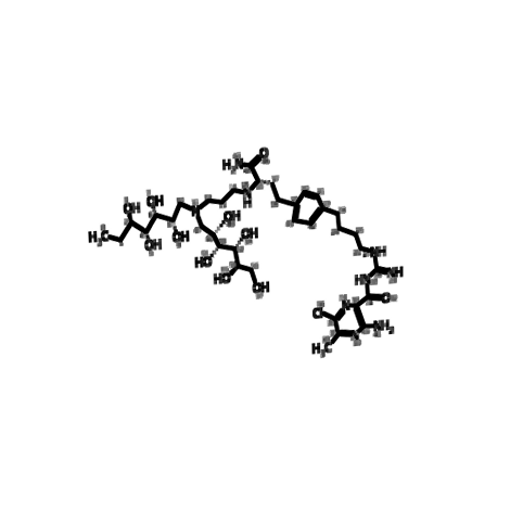 CC[C@@H](O)[C@@H](O)[C@H](O)[C@@H](O)CN(CCCN[C@@H](CCc1ccc(CCCCNC(=N)NC(=O)c2nc(Cl)c(C)nc2N)cc1)C(N)=O)C[C@H](O)[C@@H](O)[C@H](O)[C@H](O)CO